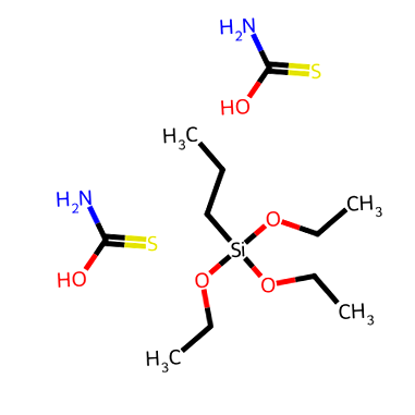 CCC[Si](OCC)(OCC)OCC.NC(O)=S.NC(O)=S